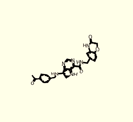 CC(=O)c1ccc(CNc2c[nH]c3c(C(=O)NCc4ccc5c(c4)NC(=O)CO5)ncnc23)cc1